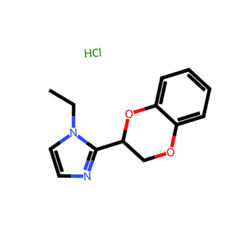 CCn1ccnc1C1COc2ccccc2O1.Cl